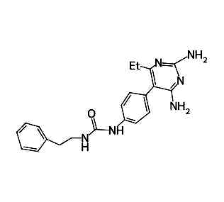 CCc1nc(N)nc(N)c1-c1ccc(NC(=O)NCCc2ccccc2)cc1